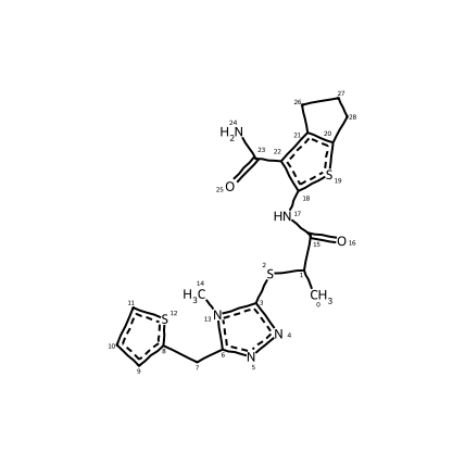 CC(Sc1nnc(Cc2cccs2)n1C)C(=O)Nc1sc2c(c1C(N)=O)CCC2